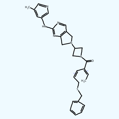 C/C=C(\C=C/CSCc1ccccc1)C(=O)N1CC(N2Cc3cnc(Nc4cncc(C)c4)nc3C2)C1